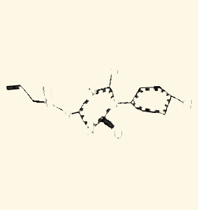 C=CCNNc1nc(CC)n(-c2ccc(Cl)cc2)c(=O)n1